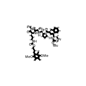 COc1c(C)c(C)c(OC)c(CCCOC(=O)NCCC[C@H](NC(=O)[C@@H](NC(=O)[C@@H]2CCCN2C(=O)[C@H](/C=C/[C@H](CC(C)C)NC(=O)OC(C)(C)C)Cc2ccccc2)C(C)C)C(=O)NC(C)C)c1C